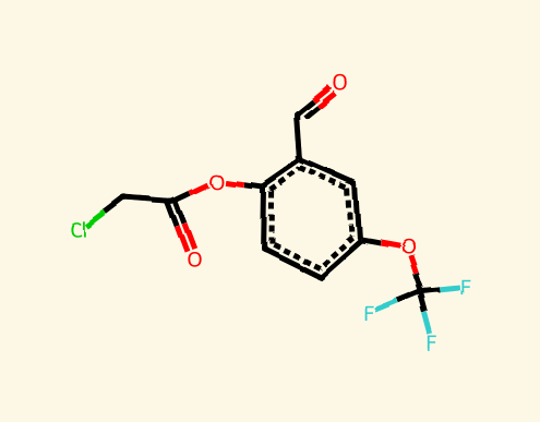 O=Cc1cc(OC(F)(F)F)ccc1OC(=O)CCl